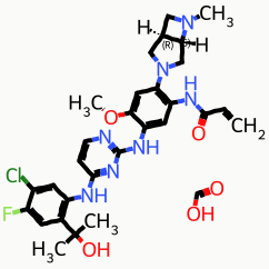 C=CC(=O)Nc1cc(Nc2nccc(Nc3cc(Cl)c(F)cc3C(C)(C)O)n2)c(OC)cc1N1C[C@H]2CN(C)[C@@H]2C1.O=CO